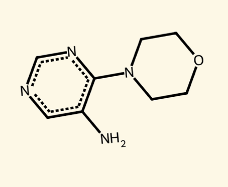 Nc1cncnc1N1CCOCC1